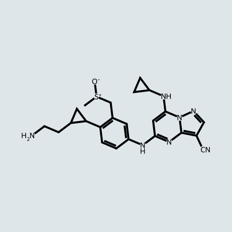 C[S+]([O-])Cc1cc(Nc2cc(NC3CC3)n3ncc(C#N)c3n2)ccc1C1CC1CCN